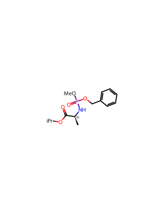 COP(=O)(N[C@@H](C)C(=O)OC(C)C)OCc1ccccc1